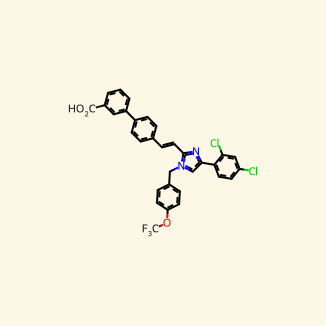 O=C(O)c1cccc(-c2ccc(/C=C/c3nc(-c4ccc(Cl)cc4Cl)cn3Cc3ccc(OC(F)(F)F)cc3)cc2)c1